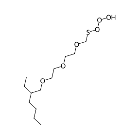 CCCCC(CC)COCCOCCOCSOOO